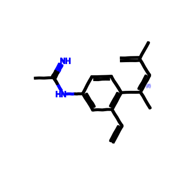 C=Cc1cc(NC(C)=N)ccc1/C(C)=C\C(=C)C